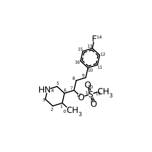 CC1CCNCC1C(CCc1ccc(F)cc1)OS(C)(=O)=O